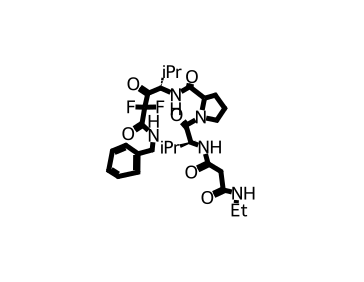 CCNC(=O)CC(=O)N[C@H](C(=O)N1CCCC1C(=O)N[C@H](C(=O)C(F)(F)C(=O)NCc1ccccc1)C(C)C)C(C)C